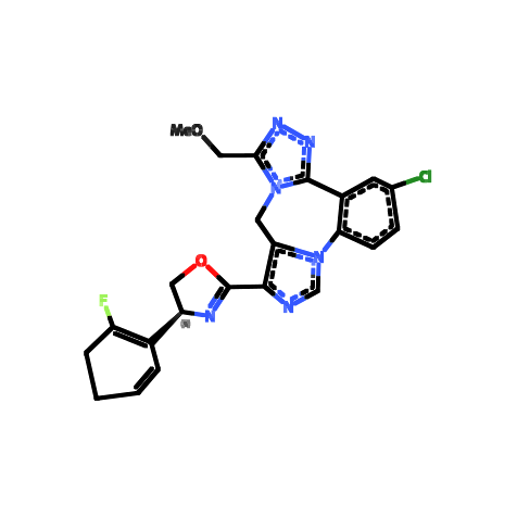 COCc1nnc2n1Cc1c(C3=N[C@@H](C4=C(F)CCC=C4)CO3)ncn1-c1ccc(Cl)cc1-2